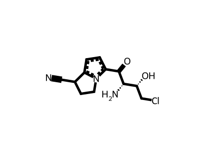 N#CC1CCn2c(C(=O)[C@@H](N)[C@H](O)CCl)ccc21